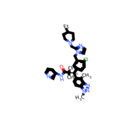 CCC1CCN(Cc2nccn2Cc2cc([C@@H](c3ccc4c(nnn4C)c3C)C(C)(C)C(=O)Nc3cccnc3)ccc2Cl)CC1